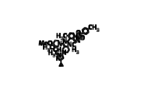 COC1CCN(c2nc(-c3c(C)ccc4c3c(C)nn4S(=O)(=O)c3ccc(C)cc3)nc3c2CN(c2cc(C4CC4)nn2C)CC3)CC1(C)C